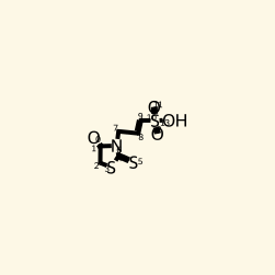 O=C1CSC(=S)N1C/C=C/S(=O)(=O)O